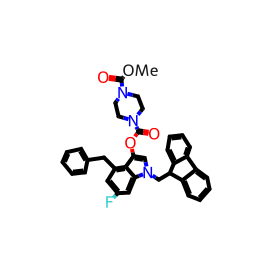 COC(=O)N1CCN(C(=O)Oc2cn(CC3c4ccccc4-c4ccccc43)c3cc(F)cc(Cc4ccccc4)c23)CC1